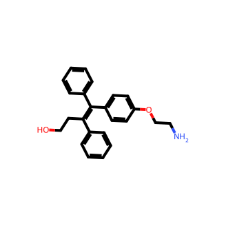 NCCOc1ccc(C(=C(CCO)c2ccccc2)c2ccccc2)cc1